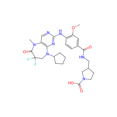 COc1cc(C(=O)NCC2CCN(C(=O)O)C2)ccc1Nc1ncc2c(n1)N(C1CCCC1)CC(F)(F)C(=O)N2C